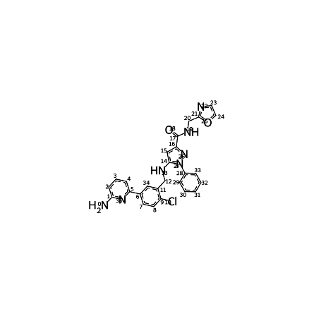 Nc1cccc(-c2ccc(Cl)c(CNc3cc(C(=O)NCc4ncco4)nn3-c3ccccc3)c2)n1